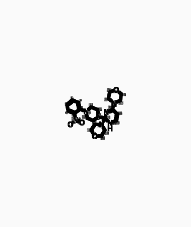 O=[N+]([O-])c1ccccc1N1CCN(C2(N3CCOCC3)N=C(N3CCOCC3)C=CN2)CC1